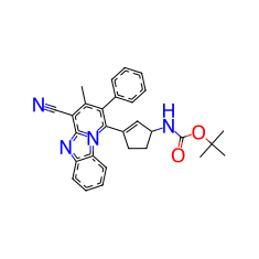 Cc1c(-c2ccccc2)c(C2=CC(NC(=O)OC(C)(C)C)CC2)n2c(nc3ccccc32)c1C#N